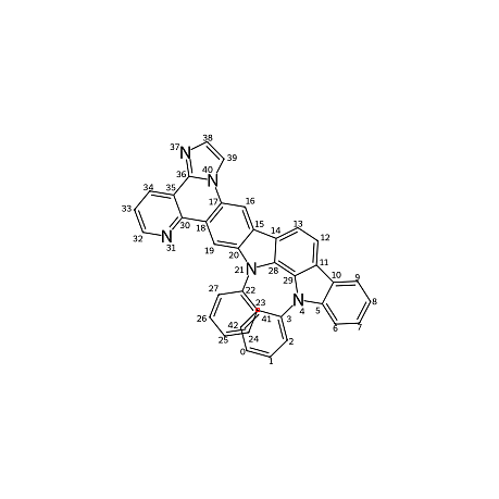 c1ccc(-n2c3ccccc3c3ccc4c5cc6c(cc5n(-c5ccccc5)c4c32)c2ncccc2c2nccn62)cc1